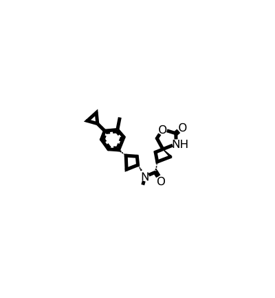 Cc1cc([C@H]2C[C@@H](N(C)C(=O)[C@H]3C[C@]4(COC(=O)N4)C3)C2)ccc1C1CC1